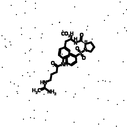 C=C(N)NCCCC(=O)Nc1ccc(CC(NC(=O)[C@@H]2CCCN2S(=O)(=O)c2ccccc2)C(=O)O)cc1